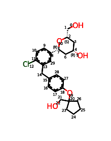 OC[C@@H]1C[C@H](O)C[C@H](c2ccc(Cl)c(Cc3ccc(OC4(CO)CCCC4)cc3)c2)O1